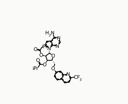 CC(C)C(=O)O[C@@H]1[C@H](OC(=O)C(C)C)[C@@H](COc2ccc3ccc(C(F)(F)F)nc3c2)O[C@H]1n1ccc2c(N)ncnc21